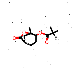 CCC(C)(C)C(=O)OC1CCC2CC1(C)OC2=O